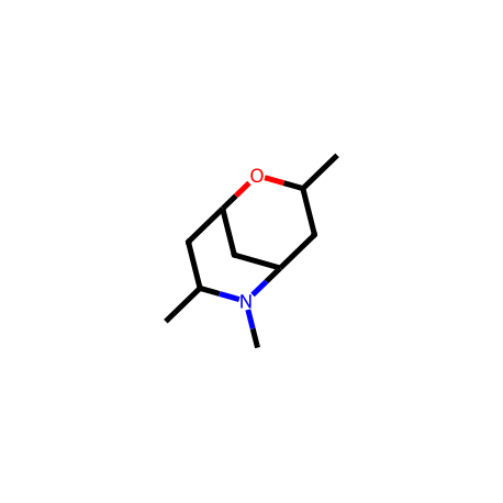 CC1CC2CC(CC(C)N2C)O1